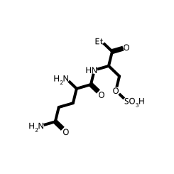 CCC(=O)C(COS(=O)(=O)O)NC(=O)C(N)CCC(N)=O